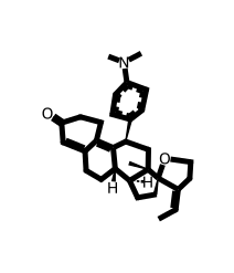 C/C=C1/CCO[C@]12CC[C@H]1[C@@H]3CCC4=CC(=O)CCC4=C3[C@@H](c3ccc(N(C)C)cc3)C[C@@]12C